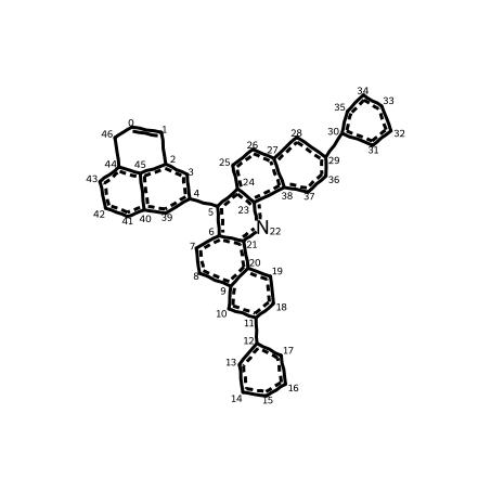 C1=Cc2cc(-c3c4ccc5cc(-c6ccccc6)ccc5c4nc4c3ccc3cc(-c5ccccc5)ccc34)cc3cccc(c23)C1